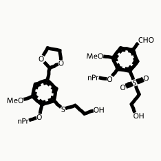 CCCOc1c(OC)cc(C2OCCO2)cc1SCCO.CCCOc1c(OC)cc(C=O)cc1S(=O)(=O)CCO